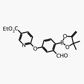 C=C1OB(c2ccc(Oc3ccc(C(=O)OCC)cn3)cc2C=O)OC1(C)C